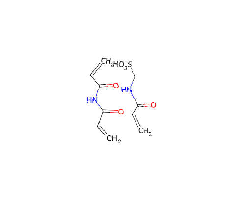 C=CC(=O)NC(=O)C=C.C=CC(=O)NCS(=O)(=O)O